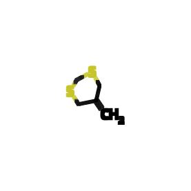 C=C1CSCSC1